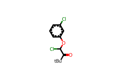 CC(C)(C)C(=O)C(Cl)Oc1cccc(Cl)c1